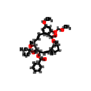 COCOc1cc(OC)cc2c1C(=O)O[C@H]1CCC[C@@H]1/C=C\C(OC(=O)c1ccccc1)[C@H]1OC(C)(C)O[C@H]1C/C=C/2